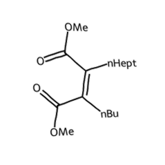 CCCCCCC/C(C(=O)OC)=C(\CCCC)C(=O)OC